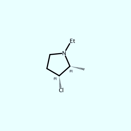 CCN1CC[C@@H](Cl)[C@H]1C